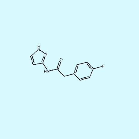 O=C(Cc1ccc(F)cc1)Nc1cc[nH]n1